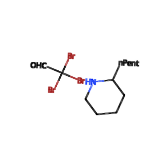 CCCCCC1CCCCN1.O=CC(Br)(Br)Br